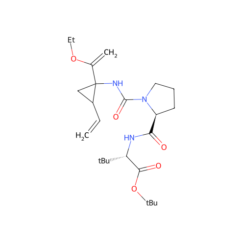 C=CC1CC1(NC(=O)N1CCC[C@H]1C(=O)N[C@H](C(=O)OC(C)(C)C)C(C)(C)C)C(=C)OCC